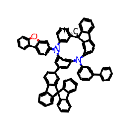 CC12c3cccc(c3)N(c3ccc4c(c3)oc3ccccc34)c3cc(-c4ccc5c(c4)C4(c6ccccc6-c6ccccc64)c4ccccc4-5)cc(c3)N(c3cccc(-c4ccccc4)c3)c3ccc(c1c3)-c1ccccc12